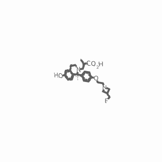 CC(CN1CCc2cc(O)ccc2[C@]1(C)c1ccc(OCCN2CC(CF)C2)cc1)C(=O)O